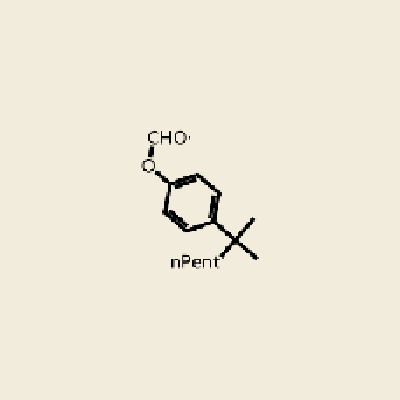 CCCCCC(C)(C)c1ccc(O[C]=O)cc1